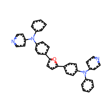 c1ccc(N(c2ccncc2)c2ccc(-c3ccc(-c4ccc(N(c5ccccc5)c5ccncc5)cc4)o3)cc2)cc1